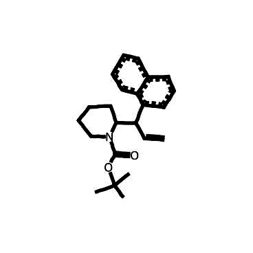 C=CC(c1cccc2ccccc12)C1CCCCN1C(=O)OC(C)(C)C